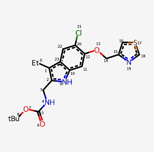 CCc1c(CNC(=O)OC(C)(C)C)[nH]c2cc(OCc3cscn3)c(Cl)cc12